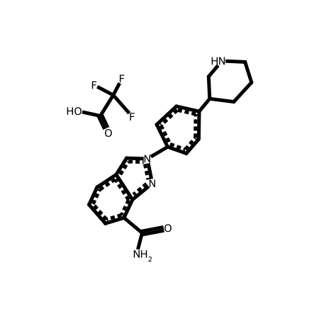 NC(=O)c1cccc2cn(-c3ccc(C4CCCNC4)cc3)nc12.O=C(O)C(F)(F)F